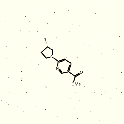 COC(=O)c1cnc(N2CC[C@H](C)C2)cn1